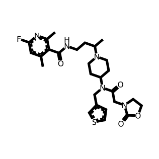 Cc1cc(F)nc(C)c1C(=O)NCCC(C)N1CCC(N(Cc2ccsc2)C(=O)CN2CCOC2=O)CC1